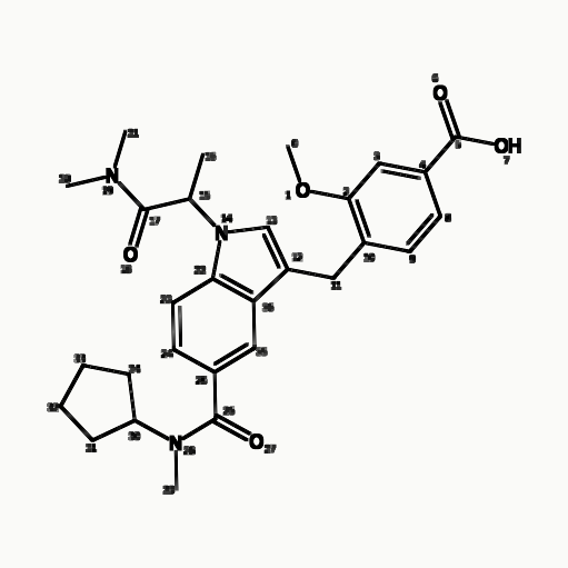 COc1cc(C(=O)O)ccc1Cc1cn(C(C)C(=O)N(C)C)c2ccc(C(=O)N(C)C3CCCC3)cc12